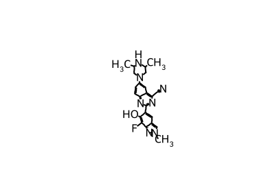 CC1CN(c2ccc3nc(-c4cc5cn(C)nc5c(F)c4O)nc(C#N)c3c2)CC(C)N1